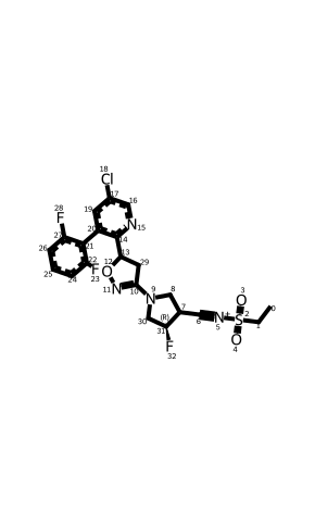 CCS(=O)(=O)[N+]#CC1CN(C2=NOC(c3ncc(Cl)cc3-c3c(F)cccc3F)C2)C[C@@H]1F